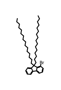 CCCCCCCCCCCCCCCCC1(CCCCCCCCCCCCCCCC)c2ccccc2-c2cccc(Br)c21